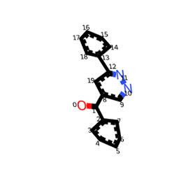 O=C(c1ccccc1)c1cnnc(-c2ccccc2)c1